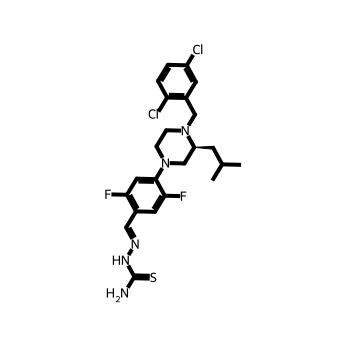 CC(C)C[C@H]1CN(c2cc(F)c(C=NNC(N)=S)cc2F)CCN1Cc1cc(Cl)ccc1Cl